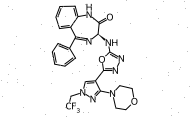 O=C1Nc2ccccc2C(c2ccccc2)=N[C@@H]1Nc1nnc(-c2cn(CC(F)(F)F)nc2N2CCOCC2)o1